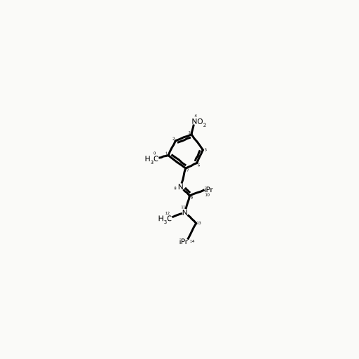 Cc1cc([N+](=O)[O-])ccc1/N=C(\C(C)C)N(C)CC(C)C